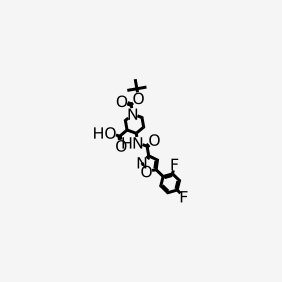 CC(C)(C)OC(=O)N1CCC(NC(=O)c2cc(-c3ccc(F)cc3F)on2)C(C(=O)O)C1